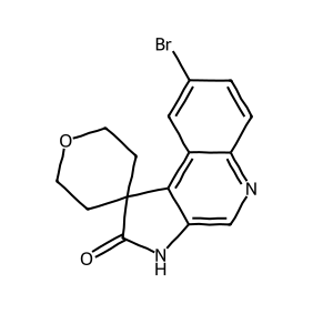 O=C1Nc2cnc3ccc(Br)cc3c2C12CCOCC2